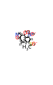 C[S+]([O-])c1ccc(C(=O)c2cnoc2C2CC2)c([N+](=O)[O-])c1